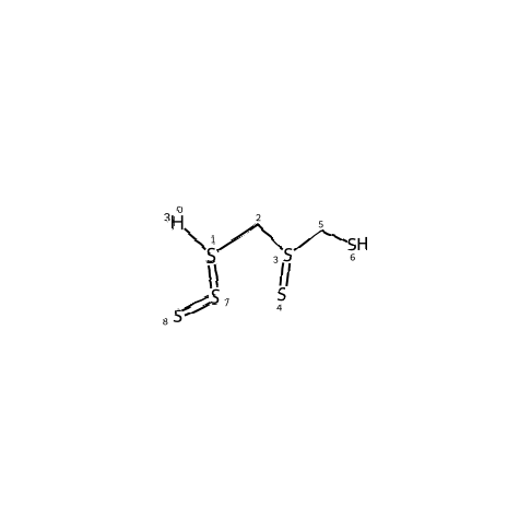 [3H]S(CS(=S)CS)=S=S